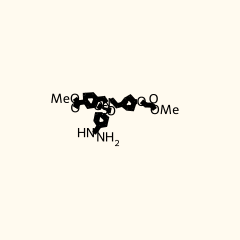 COC(=O)COc1ccc(CCN(Cc2ccc(C(=O)OC)cc2)S(=O)(=O)c2ccc(C(=N)N)cc2)cc1